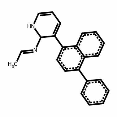 C/C=N/C1NC=CC=C1c1ccc(-c2ccccc2)c2ccccc12